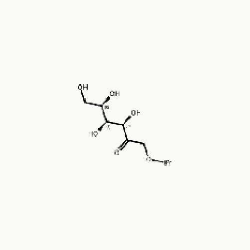 CC(C)OCC(=O)[C@H](O)[C@@H](O)[C@H](O)CO